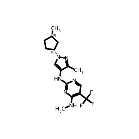 CNc1nc(Nc2cn([C@@H]3CC[C@@H](C)C3)nc2C)ncc1C(F)(F)F